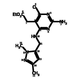 CCOC(=O)Cc1c(Cl)nc(N)nc1NCc1cc(C)nn1C